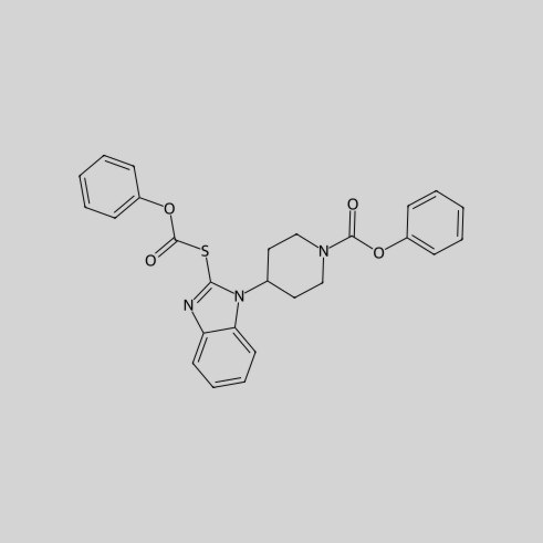 O=C(Oc1ccccc1)Sc1nc2ccccc2n1C1CCN(C(=O)Oc2ccccc2)CC1